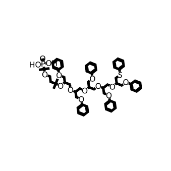 CC(C)(CCOC(C)(C)P(=O)(O)O)OC(COc1ccccc1)COC(COc1ccccc1)COC(COc1ccccc1)COC(COc1ccccc1)COC(COc1ccccc1)CSc1ccccc1